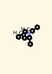 Cc1cc(-c2ccccc2)ccc1N(c1ccc(-c2ccccc2)cc1)c1cccc2c1-c1ccccc1C2(C)c1ccccc1